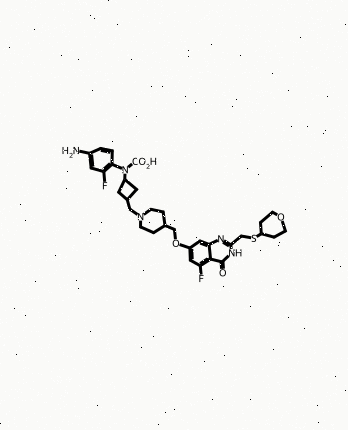 Nc1ccc(N(C(=O)O)C2CC(CN3CCC(COc4cc(F)c5c(=O)[nH]c(CSC6CCOCC6)nc5c4)CC3)C2)c(F)c1